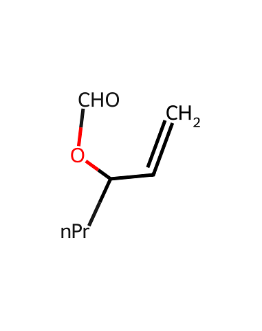 C=CC(CCC)OC=O